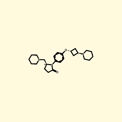 O=C1CC[C@@H](CN2CCCCC2)N1c1ccc(O[C@H]2C[C@H](N3CCCCC3)C2)cc1